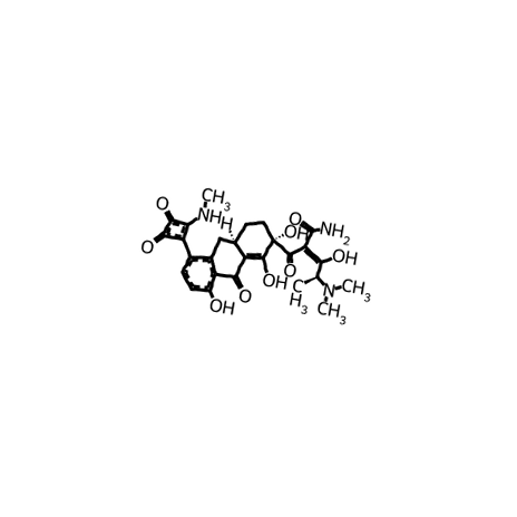 CNc1c(-c2ccc(O)c3c2C[C@H]2CC[C@@](O)(C(=O)/C(C(N)=O)=C(/O)[C@H](C)N(C)C)C(O)=C2C3=O)c(=O)c1=O